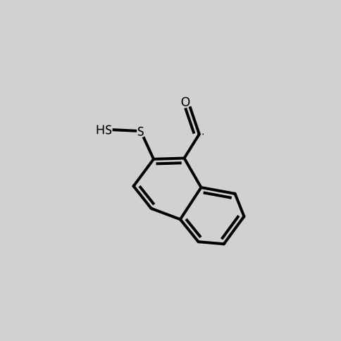 O=[C]c1c(SS)ccc2ccccc12